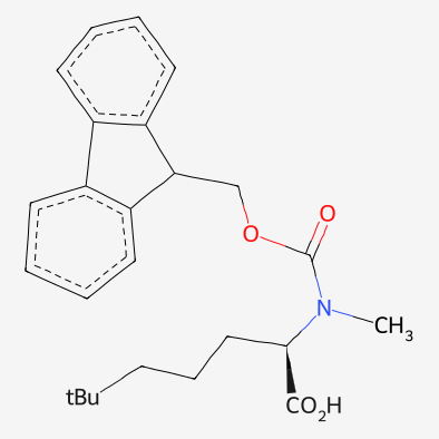 CN(C(=O)OCC1c2ccccc2-c2ccccc21)[C@H](CCCC(C)(C)C)C(=O)O